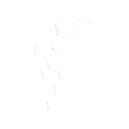 NCc1ccc(N2CCCN(c3ccc(CCC(=O)O)cc3)C2=O)cc1